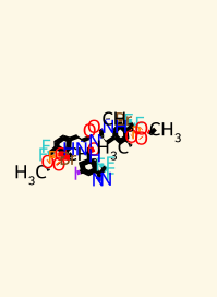 CCOP(=O)(OCC)C(F)(F)c1ccc(C[C@H](NC(=O)c2cc(I)cc(C3(C(F)(F)F)N=N3)c2)C(=O)N[C@@H](Cc2ccc(C(F)(F)P(=O)(OCC)OCC)c(Br)c2)C(=O)NC)cc1Br